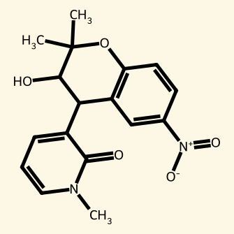 Cn1cccc(C2c3cc([N+](=O)[O-])ccc3OC(C)(C)C2O)c1=O